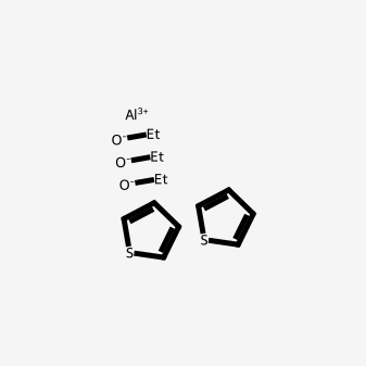 CC[O-].CC[O-].CC[O-].[Al+3].c1ccsc1.c1ccsc1